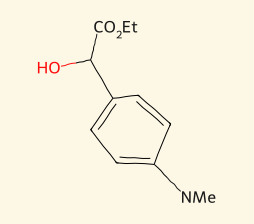 CCOC(=O)C(O)c1ccc(NC)cc1